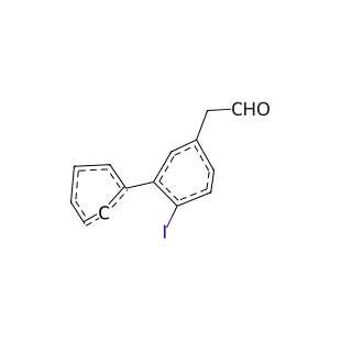 O=CCc1ccc(I)c(-c2ccccc2)c1